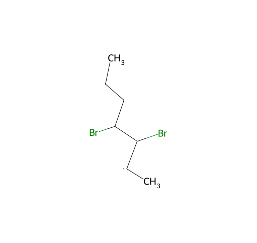 C[CH]C(Br)C(Br)CCC